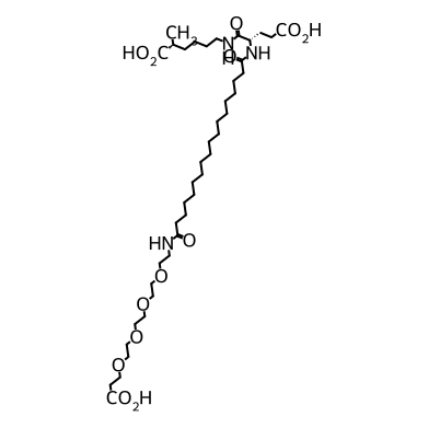 C[C@@H](CCCCNC(=O)[C@H](CCC(=O)O)NC(=O)CCCCCCCCCCCCCCCCC(=O)NCCOCCOCCOCCOCCC(=O)O)C(=O)O